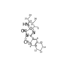 CCc1nc(-c2cc3c(cc2Cl)CCCC3)n(C)c(=O)c1NC(CC)CC